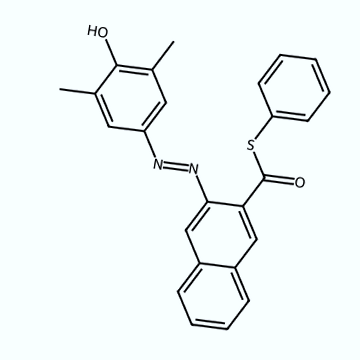 Cc1cc(/N=N/c2cc3ccccc3cc2C(=O)Sc2ccccc2)cc(C)c1O